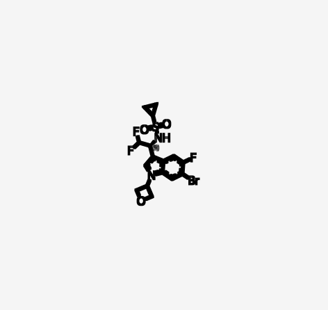 O=S(=O)(N[C@@H](c1cn(C2COC2)c2cc(Br)c(F)cc12)C(F)F)C1CC1